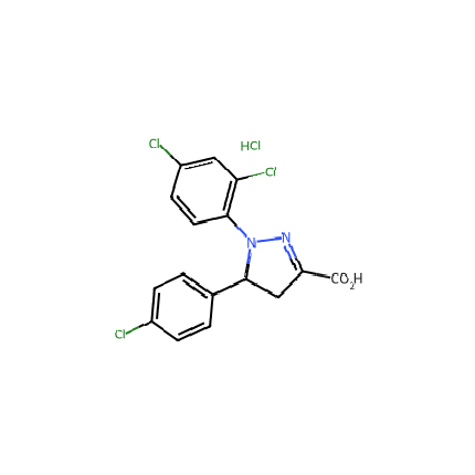 Cl.O=C(O)C1=NN(c2ccc(Cl)cc2Cl)C(c2ccc(Cl)cc2)C1